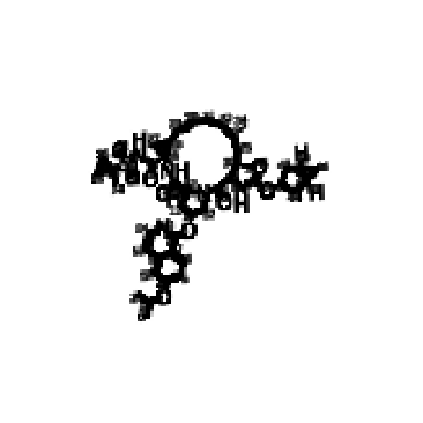 CC(C)Oc1ccc2c(O[C@@H]3C[C@H]4C(=O)N[C@]5(C(=O)NS(=O)(=O)C6(C)CC6)CC5/C=C\CC[C@H](C)C[C@@H](C)[C@H](NC(=O)O[C@@H]5C[C@@H]6C[C@@H]6C5)C(=O)N4C3)nccc2c1